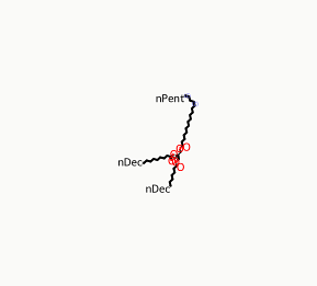 CCCCC/C=C\C/C=C\CCCCCCCCCCCC(=O)OC[C@@H](COC(=O)CCCCCCCCCCCCCCCC)OC(=O)CCCCCCCCCCCCCCCCCC